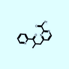 CC(C)C(=O)c1nccc(CC(C)C(=O)c2ccccn2)n1